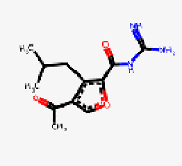 CC(=O)c1coc(C(=O)NC(=N)N)c1CC(C)C